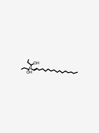 CCCCCCCCCCCCCCC=CN(C(O)CC)C(O)CC